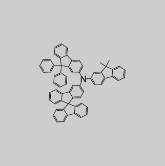 CC1(C)c2ccccc2-c2ccc(N(c3ccc4c(c3)-c3ccccc3C43c4ccccc4-c4ccccc43)c3ccc4c(c3)C(c3ccccc3)(c3ccccc3)c3ccccc3-4)cc21